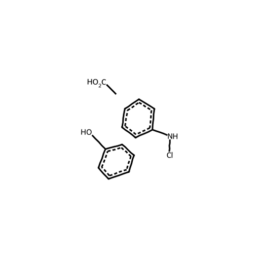 CC(=O)O.ClNc1ccccc1.Oc1ccccc1